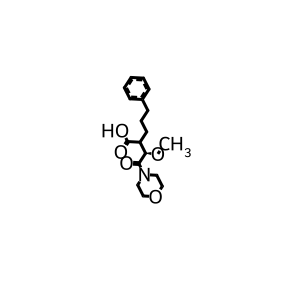 CO[C@@H](C(=O)N1CCOCC1)C(CCCc1ccccc1)C(=O)O